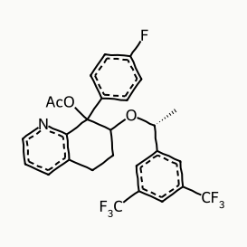 CC(=O)OC1(c2ccc(F)cc2)c2ncccc2CCC1O[C@H](C)c1cc(C(F)(F)F)cc(C(F)(F)F)c1